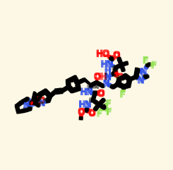 COC(=O)N[C@H](C(=O)N[C@@H](Cc1ccc(C#Cc2ccc(N3CC4CCC(C3)N4C3COC3)nc2)cc1)[C@@H](O)CN(Cc1c(F)cc(-c2cn(C(F)F)cn2)cc1F)NC(=O)[C@@H](NC(=O)O)C(C)(C)C)C(C)(C)C(F)(F)F